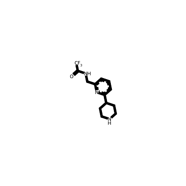 O=C(NCc1cccc(C2CCNCC2)n1)C(F)(F)F